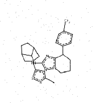 Cc1cc(N2CC3CCC(C2)C3Nc2nc3n(n2)CCCC3c2ccc(C(F)(F)F)cc2)sn1